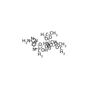 CC(C)OC(=O)COP(=O)(N[C@@H](C)C(=O)OC(C)C)OC[C@H]1O[C@@H](c2ccc3c(N)ncnn23)[C@](C)(C#N)[C@@H]1O